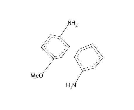 COc1ccc(N)cc1.Nc1ccccc1